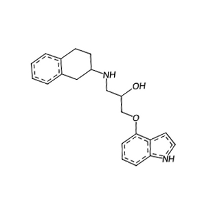 OC(CNC1CCc2ccccc2C1)COc1cccc2[nH]ccc12